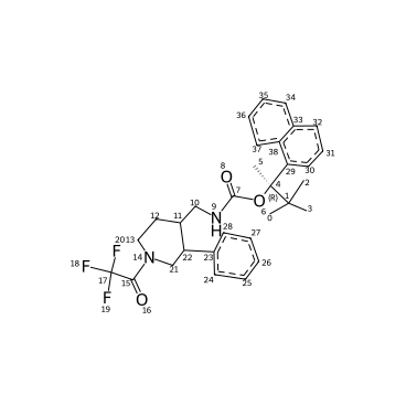 CC(C)(C)[C@@](C)(OC(=O)NCC1CCN(C(=O)C(F)(F)F)CC1c1ccccc1)c1cccc2ccccc12